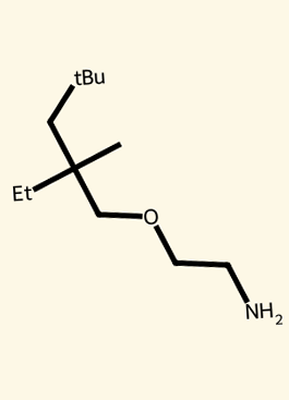 CCC(C)(COCCN)CC(C)(C)C